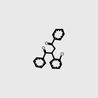 O=C(CC(C(=O)c1ccccc1)c1ccccc1Cl)c1ccccc1